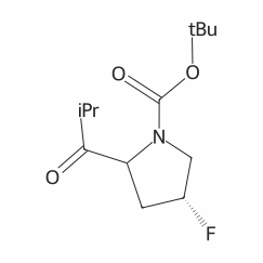 CC(C)C(=O)C1C[C@@H](F)CN1C(=O)OC(C)(C)C